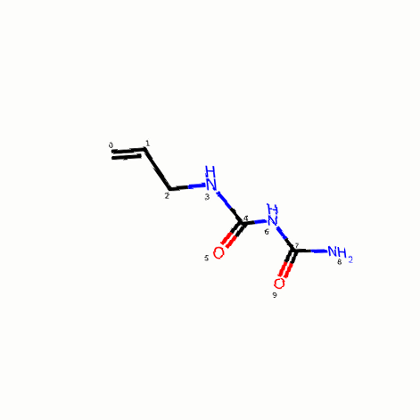 C=CCNC(=O)NC(N)=O